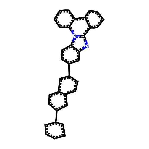 c1ccc(-c2ccc3cc(-c4ccc5c(c4)nc4c6ccccc6c6ccccc6n54)ccc3c2)cc1